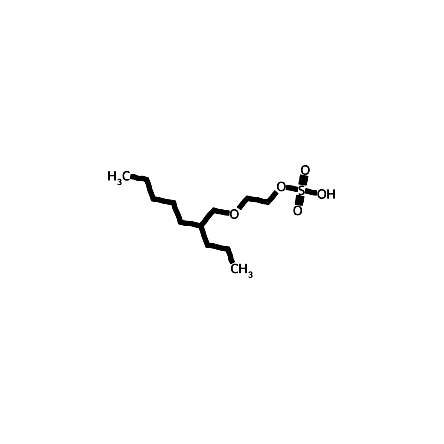 CCCCCC(CCC)COCCOS(=O)(=O)O